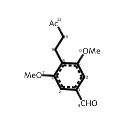 COc1cc(C=O)cc(OC)c1CCC(C)=O